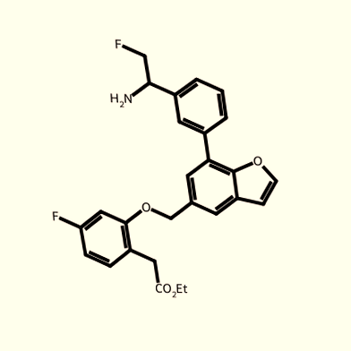 CCOC(=O)Cc1ccc(F)cc1OCc1cc(-c2cccc(C(N)CF)c2)c2occc2c1